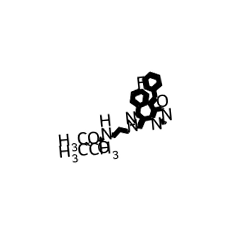 CC(C)(C)OC(=O)NCCCn1cc(-c2ncnc3oc(-c4ccccc4)cc23)c(-c2ccc(F)cc2)n1